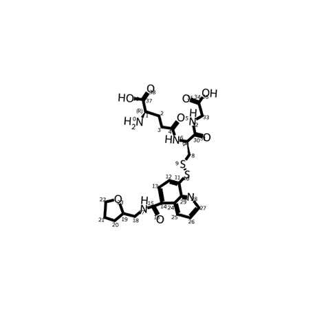 N[C@H](CCC(=O)N[C@H](CSSc1ccc(C(=O)NCC2CCCO2)c2cccnc12)C(=O)NCC(=O)O)C(=O)O